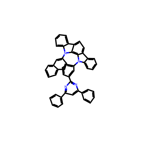 c1ccc(-c2cc(-c3ccccc3)nc(-c3cccc(-n4c5ccccc5c5ccc6c7ccccc7n(-c7ccc8ccccc8c7)c6c54)c3)n2)cc1